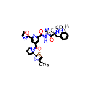 Cc1csc([C@H]2CCCN2C(=O)c2cc(C(=O)NNC(=O)[C@@](C)(Cc3ccccc3)NC(=O)O)nc(-c3ncco3)c2)n1